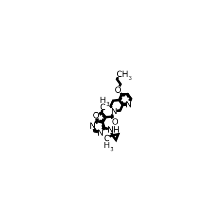 CCCOc1ccnc2c1CCN(C(=O)c1c(C)oc3ncnc(NC4(C)CC4)c13)C2